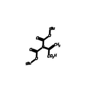 C=C(C(=O)O)N(C(=O)OC(C)(C)C)C(=O)OC(C)(C)C